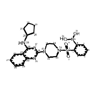 O=S(=O)(c1ccccc1N(O)O)N1CCN(c2nc(NC3CCCC3)c3ccccc3n2)CC1